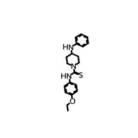 CCOc1ccc(NC(=S)N2CCC(Nc3ccccc3)CC2)cc1